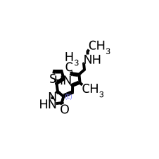 CCNCCc1c(C)[nH]c(/C=C2/C(=O)NN=C2c2cccs2)c1C